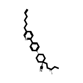 C=CCCCCc1ccc(-c2ccc([C@H]3CC[C@@](C#N)(CC[C@@H](C)CC)CC3)cc2)nc1